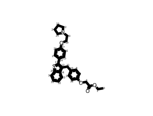 CCOC(=O)COc1ccc(Cc2c(-c3ccc(OCCN4CCCC4)cc3)sc3ccccc23)cc1